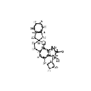 CC1=Nc2c(ccc3c2OC2(CC3)Cc3ccccc3C2)[N+]1(C)C1CCC1